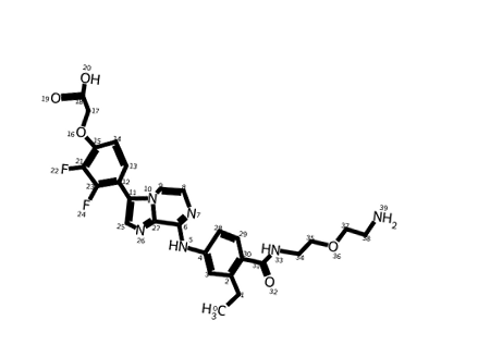 CCc1cc(Nc2nccn3c(-c4ccc(OCC(=O)O)c(F)c4F)cnc23)ccc1C(=O)NCCOCCN